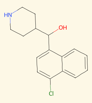 OC(c1ccc(Cl)c2ccccc12)C1CCNCC1